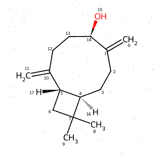 C=C1CC[C@@H]2[C@H](CC2(C)C)C(=C)CC[C@H]1O